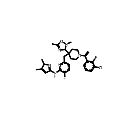 C=C(c1cccc(Cl)c1F)N1CCC(Cc2ccc(F)c(NC3=NC(C)C(C)=C3)n2)(C2N=C(C)ON2C)CC1